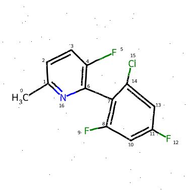 Cc1ccc(F)c(-c2c(F)cc(F)cc2Cl)n1